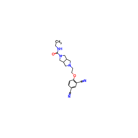 CCNC(=O)N1CC2CN(CCOc3ccc(C#N)cc3C#N)CC2C1